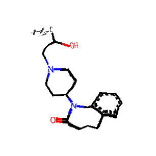 [CH2]C(O)CN1CCC(N2C(=O)CCc3ccccc32)CC1